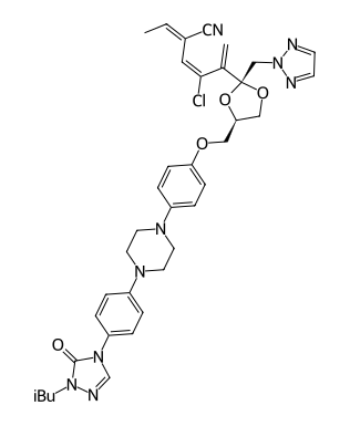 C=C(/C(Cl)=C\C(C#N)=C/C)[C@]1(Cn2nccn2)OC[C@@H](COc2ccc(N3CCN(c4ccc(-n5cnn(C(C)CC)c5=O)cc4)CC3)cc2)O1